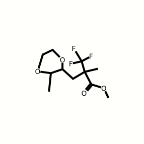 COC(=O)C(C)(CC1OCCOC1C)C(F)(F)F